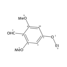 CCOc1cc(OC)c(C=O)c(OC)c1